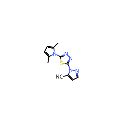 Cc1ccc(C)n1-c1nnc(-n2nccc2C#N)s1